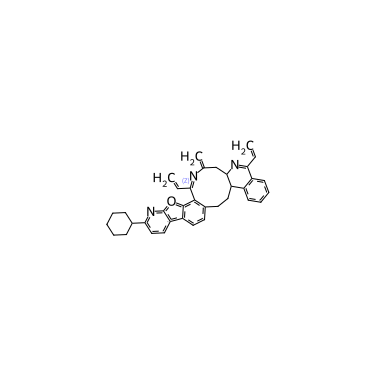 C=CC1=NC2CC(=C)/N=C(/C=C)c3c(ccc4c3oc3nc(C5CCCCC5)ccc34)CCC2c2ccccc21